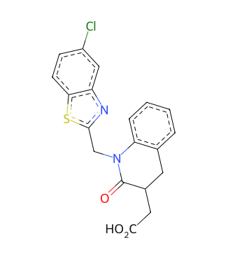 O=C(O)CC1Cc2ccccc2N(Cc2nc3cc(Cl)ccc3s2)C1=O